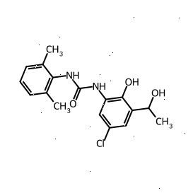 Cc1cccc(C)c1NC(=O)Nc1cc(Cl)cc(C(C)O)c1O